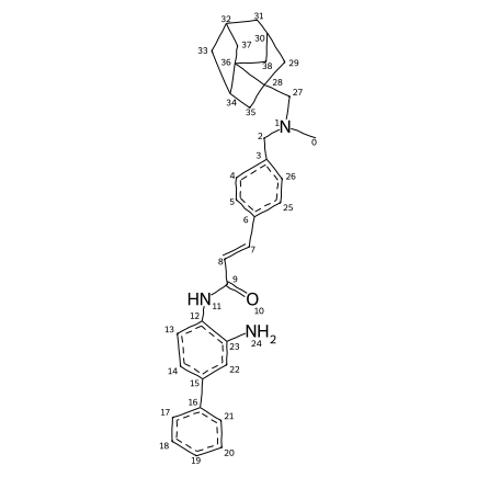 CN(Cc1ccc(/C=C/C(=O)Nc2ccc(-c3ccccc3)cc2N)cc1)CC12CC3CC4CC(C1)C2(C4)C3